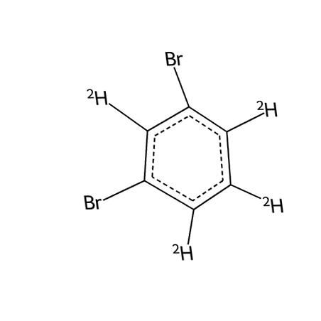 [2H]c1c([2H])c(Br)c([2H])c(Br)c1[2H]